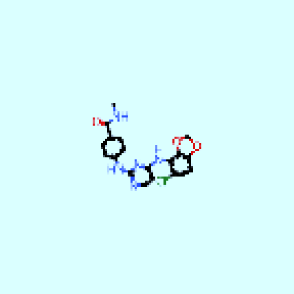 CNC(=O)c1ccc(Nc2nccc(Nc3c(Cl)ccc4c3OCO4)n2)cc1